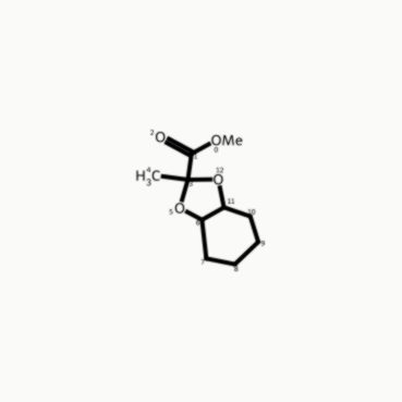 COC(=O)C1(C)OC2CCCCC2O1